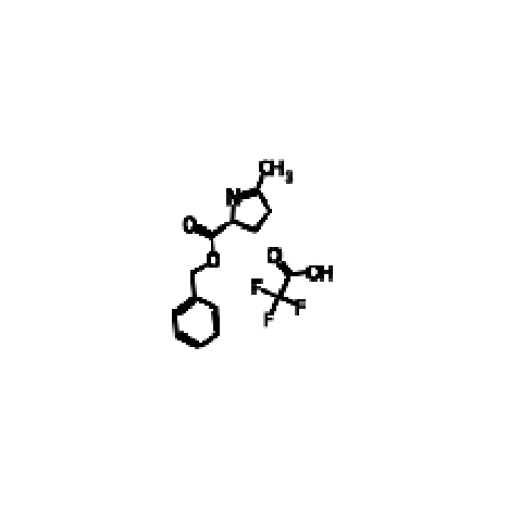 CC1=N[C@H](C(=O)OCc2ccccc2)CC1.O=C(O)C(F)(F)F